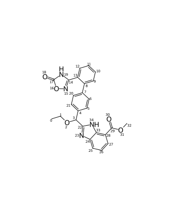 CCOC(c1ccc(-c2ccccc2-c2noc(=O)[nH]2)cc1)c1nc2cccc(C(=O)OC)c2[nH]1